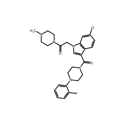 CN1CCN(C(=O)Cn2cc(C(=O)N3CCN(c4ccccc4F)CC3)c3ccc(Cl)cc32)CC1